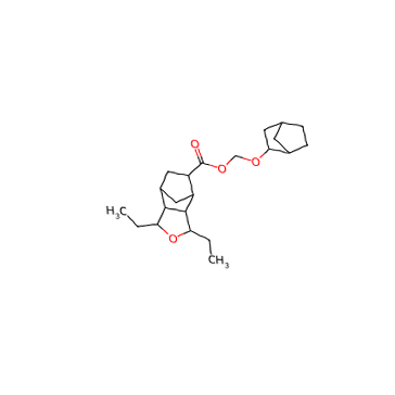 CCC1OC(CC)C2C3CC(CC3C(=O)OCOC3CC4CCC3C4)C12